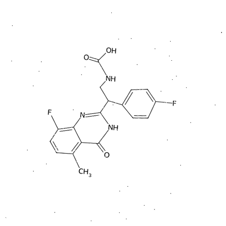 Cc1ccc(F)c2nc(C(CNC(=O)O)c3ccc(F)cc3)[nH]c(=O)c12